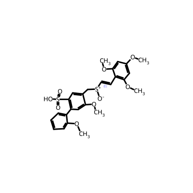 COc1cc(OC)c(/C=C/[S+]([O-])Cc2cc(S(=O)(=O)O)c(-c3ccccc3OC)cc2OC)c(OC)c1